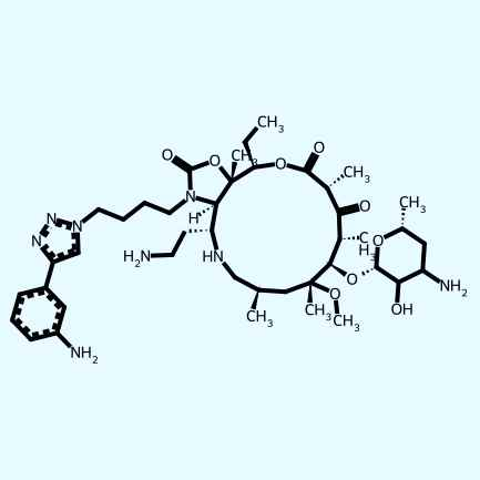 CC[C@H]1OC(=O)[C@H](C)C(=O)[C@H](C)[C@@H](O[C@@H]2O[C@H](C)CC(N)C2O)[C@](C)(OC)C[C@@H](C)CN[C@H](CCN)[C@H]2N(CCCCn3cc(-c4cccc(N)c4)nn3)C(=O)O[C@]12C